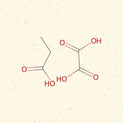 CCC(=O)O.O=C(O)C(=O)O